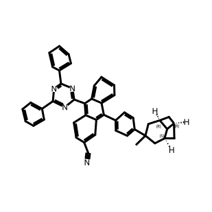 CC1(c2ccc(-c3c4ccccc4c(-c4nc(-c5ccccc5)nc(-c5ccccc5)n4)c4ccc(C#N)cc34)cc2)C[C@H]2C[C@H]3C[C@@H](C1)C32